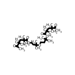 CC(=O)C(C)(C)CC(C)(C)C(=O)OCCC(C)(C)OCCC(C)(C)OC(=O)C(C)(C)CC(C)(C)C(C)=O